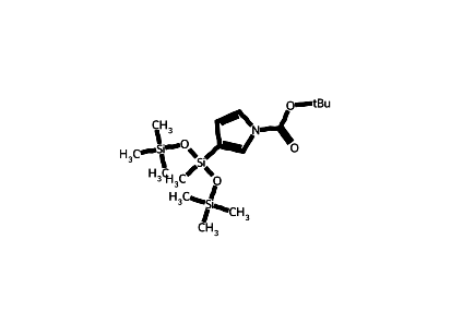 CC(C)(C)OC(=O)n1ccc([Si](C)(O[Si](C)(C)C)O[Si](C)(C)C)c1